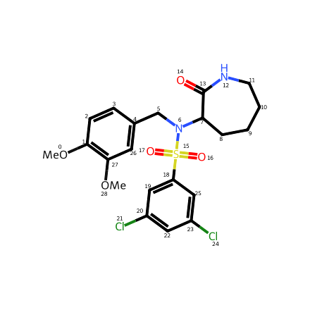 COc1ccc(CN(C2CCCCNC2=O)S(=O)(=O)c2cc(Cl)cc(Cl)c2)cc1OC